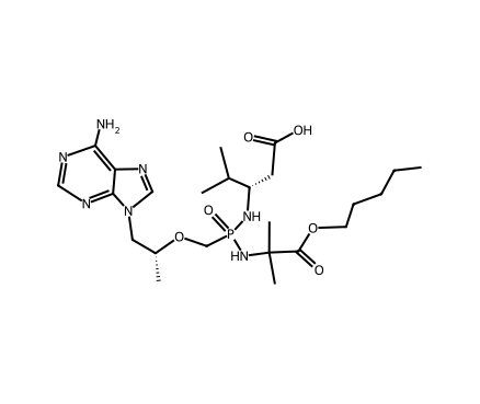 CCCCCOC(=O)C(C)(C)NP(=O)(CO[C@H](C)Cn1cnc2c(N)ncnc21)N[C@@H](CC(=O)O)C(C)C